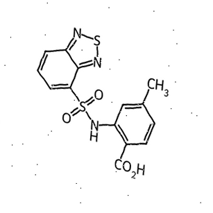 Cc1ccc(C(=O)O)c(NS(=O)(=O)c2cccc3nsnc23)c1